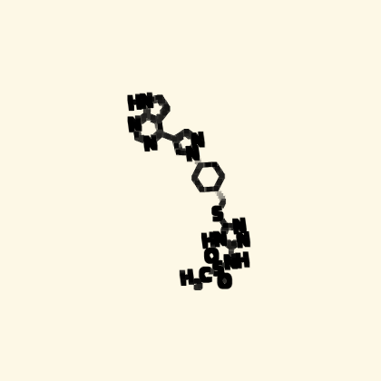 CS(=O)(=O)Nc1nnc(SC[C@H]2CC[C@@H](n3cc(-c4ncnc5[nH]ccc45)cn3)CC2)[nH]1